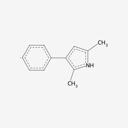 Cc1cc(-c2cc[c]cc2)c(C)[nH]1